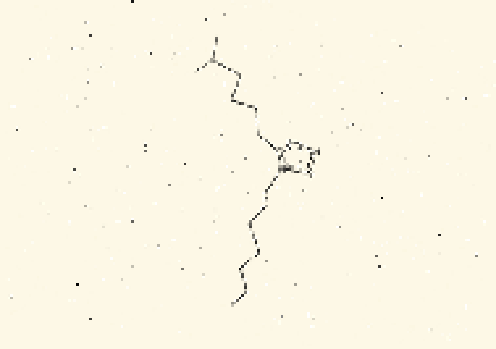 CCCCCCCn1nncc1CCCCC(C)C